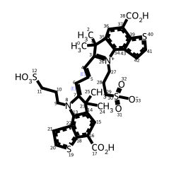 CC1(C)C(/C=C/C=C2/N(CCCS(=O)(=O)O)c3c(cc(C(=O)O)c4sccc34)C2(C)C)=[N+](CCCS(=O)(=O)[O-])c2c1cc(C(=O)O)c1sccc21